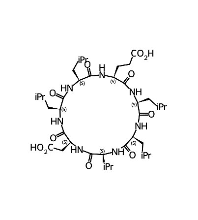 CC(C)C[C@@H]1NC(=O)[C@H](CC(C)C)NC(=O)[C@H](CC(=O)O)NC(=O)[C@H](C(C)C)NC(=O)[C@H](CC(C)C)NC(=O)[C@H](CC(C)C)NC(=O)[C@H](CCC(=O)O)NC1=O